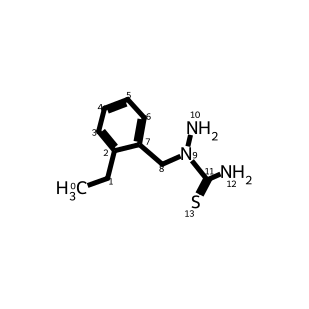 CCc1ccccc1CN(N)C(N)=S